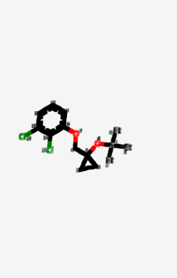 CC[Si](CC)(CC)OC1(COc2cccc(Cl)c2Cl)CC1